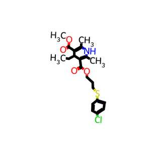 CCC1C(C(=O)OC)=C(C)NC(C)=C1C(=O)OCCCSc1ccc(Cl)cc1